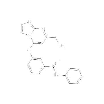 NCc1cc(Oc2cccc(C(=O)Nc3ccccc3)c2)n2ccnc2n1